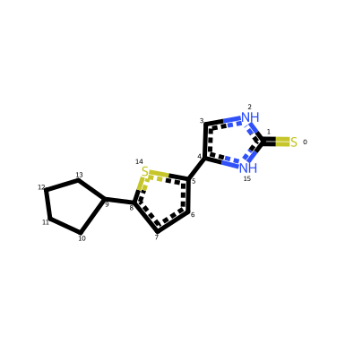 S=c1[nH]cc(-c2ccc(C3CCCC3)s2)[nH]1